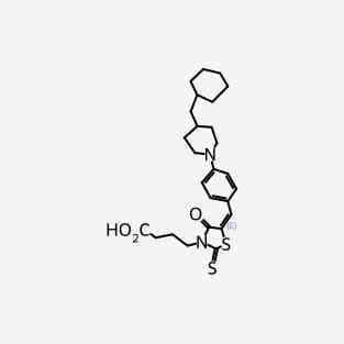 O=C(O)CCCN1C(=O)/C(=C\c2ccc(N3CCC(CC4CCCCC4)CC3)cc2)SC1=S